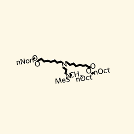 CCCCCCCCCOC(=O)CCCCCCCN(CCCCCCCC(=O)OC(CCCCCCCC)CCCCCCCC)CCCN(C)SC